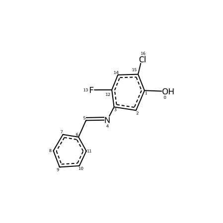 Oc1cc(N=Cc2ccccc2)c(F)cc1Cl